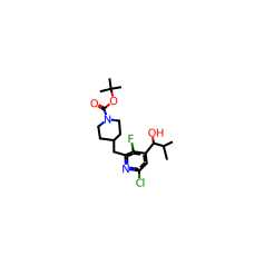 CC(C)C(O)c1cc(Cl)nc(CC2CCN(C(=O)OC(C)(C)C)CC2)c1F